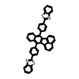 c1cc2c3c(cccc3c1)-c1c-2c(-c2ccc(-c3nc4ccccc4s3)cc2)c2ccccc2c1-c1ccc(-c2nc3ccccc3s2)cc1